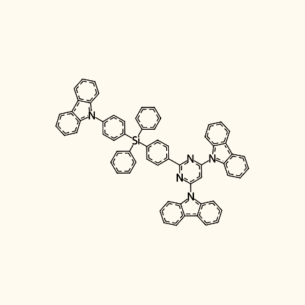 c1ccc([Si](c2ccccc2)(c2ccc(-c3nc(-n4c5ccccc5c5ccccc54)cc(-n4c5ccccc5c5ccccc54)n3)cc2)c2ccc(-n3c4ccccc4c4ccccc43)cc2)cc1